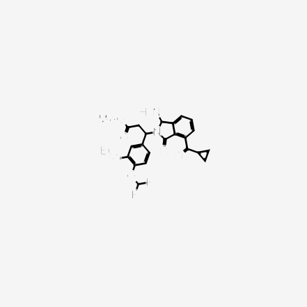 CCOc1cc(C(CC(=O)OC)N2C(=O)c3c(C(=O)C4CC4)cccc3C2N)ccc1OC(F)F